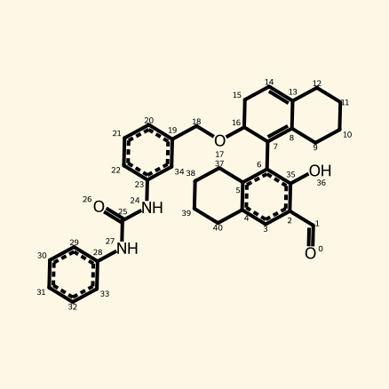 O=Cc1cc2c(c(C3=C4CCCCC4=CCC3OCc3cccc(NC(=O)Nc4ccccc4)c3)c1O)CCCC2